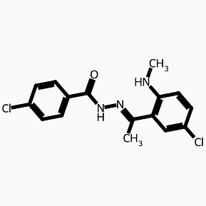 CNc1ccc(Cl)cc1/C(C)=N/NC(=O)c1ccc(Cl)cc1